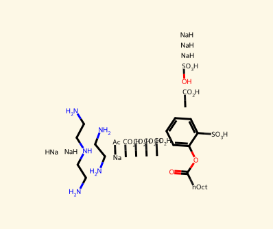 CC(=O)O.CC(=O)O.CC(=O)O.CC(=O)O.CC(=O)O.CCCCCCCCC(=O)Oc1ccccc1S(=O)(=O)O.C[C](=O)[Na].NCCN.NCCNCCN.O=S(=O)(O)O.[NaH].[NaH].[NaH].[NaH].[NaH]